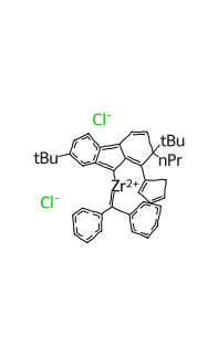 CCCC1(C(C)(C)C)C=CC2=c3ccc(C(C)(C)C)cc3=[C]([Zr+2]=[C](c3ccccc3)c3ccccc3)C2=C1C1=CC=CC1.[Cl-].[Cl-]